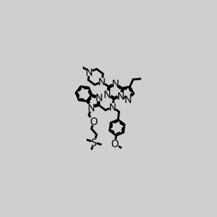 CCc1cnn2c(N(Cc3ccc(OC)cc3)Cc3nc4ccccc4n3COCCS(C)(C)C)nc(N3CCN(C)CC3)nc12